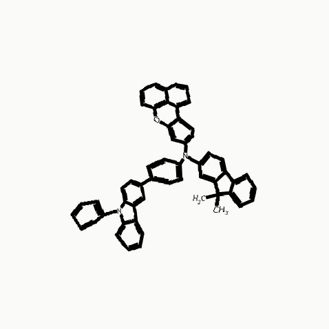 CC1(C)c2ccccc2-c2ccc(N(c3ccc(-c4ccc5c(c4)c4ccccc4n5-c4ccccc4)cc3)c3ccc4c(c3)Oc3cccc5cccc-4c35)cc21